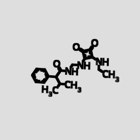 CCNc1c(NCNC(=O)C(c2ccccc2)C(C)C)c(=O)c1=O